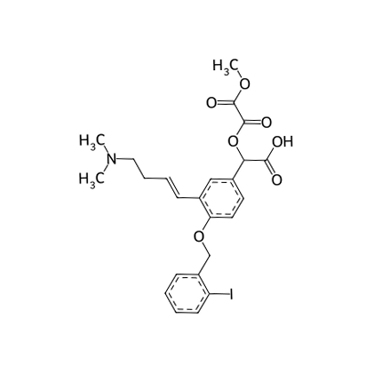 COC(=O)C(=O)OC(C(=O)O)c1ccc(OCc2ccccc2I)c(C=CCCN(C)C)c1